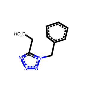 O=C(O)Cc1nnnn1Cc1ccccc1